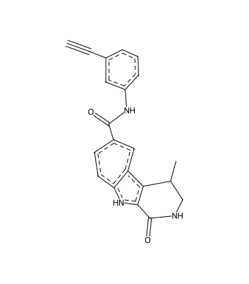 C#Cc1cccc(NC(=O)c2ccc3[nH]c4c(c3c2)C(C)CNC4=O)c1